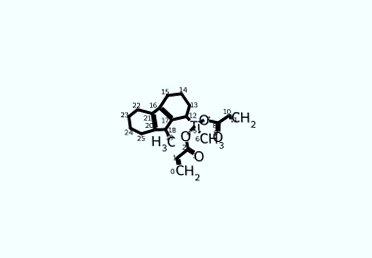 C=CC(=O)[O][Ti]([CH3])([O]C(=O)C=C)[CH]1CCCC2=C1C(C)C1=C2CCCC1